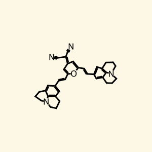 N#CC(C#N)=C1C=C(C=Cc2cc3c4c(c2)CCCN4CCC3)OC(C=Cc2cc3c4c(c2)CCCN4CCC3)=C1